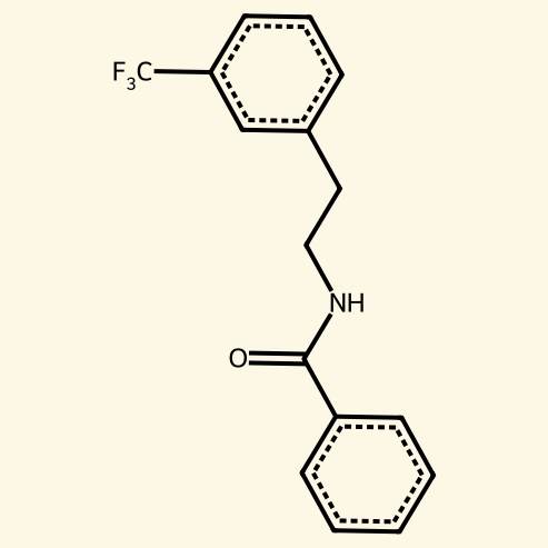 O=C(NCCc1cccc(C(F)(F)F)c1)c1ccccc1